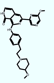 COc1cncc(-c2cc3cc[nH]c(=O)c3c(Nc3ccc(CCN4CCC(OC)CC4)cc3)n2)n1